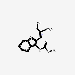 CCOC(=O)/C(=C/c1sc2ccccc2c1NC(=O)OC(C)(C)C)CC#N